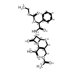 CCSC(=S)OC(C(=O)N[C@H]1C(=O)N2C(C(=O)O)=C(COC(C)=O)CSC12)c1ccccc1